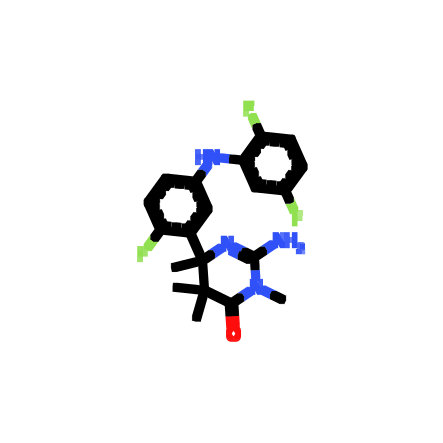 CN1C(=O)C(C)(C)C(C)(c2cc(Nc3cc(F)ccc3F)ccc2F)N=C1N